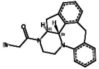 O=C(CBr)N1CCN2c3ccccc3Cc3cccc4c3[C@H]2[C@@H]1C4